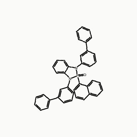 O=P1(c2cccc3ccccc23)N(c2cccc(-c3ccccc3)c2)c2ccccc2N1c1cccc(-c2ccccc2)c1